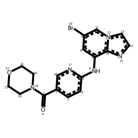 O=C(c1ccc(Nc2cc(Br)cn3ccnc23)nc1)N1CCOCC1